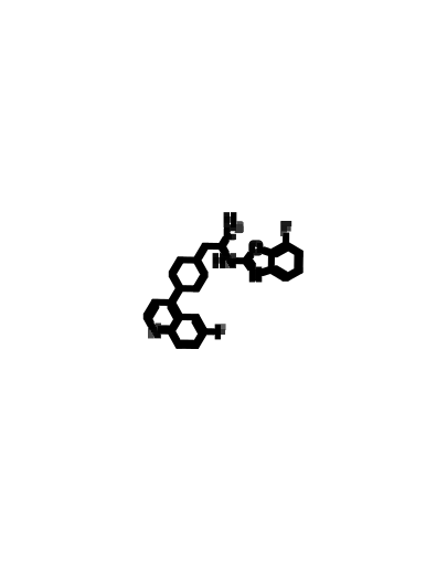 CC(CC1CCC(c2ccnc3ccc(F)cc23)CC1)Nc1nc2cccc(F)c2o1